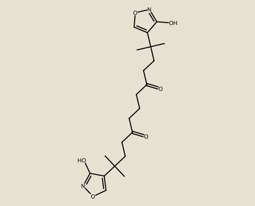 CC(C)(CCC(=O)CCCC(=O)CCC(C)(C)c1conc1O)c1conc1O